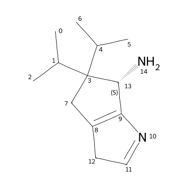 CC(C)C1(C(C)C)CC2=C(N=CC2)[C@H]1N